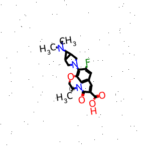 C[C@H]1COc2c(N3CC4C(C3)C4N(C)C)c(F)cc3cc(C(=O)O)c(=O)n1c23